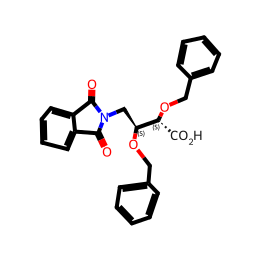 O=C(O)[C@@H](OCc1ccccc1)[C@H](CN1C(=O)c2ccccc2C1=O)OCc1ccccc1